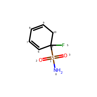 NS(=O)(=O)C1(F)C=CC=CC1